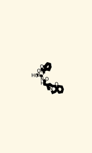 O=C(Cc1cc2n(c1)CCC1(CCCCC1)C2=O)N[C@@H](Cc1coc2ccccc12)B(O)O